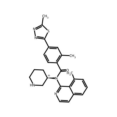 Cc1nnc(-c2ccc(C(=O)N(c3nccc4cccc(C)c34)[C@@H]3CCCNC3)c(C)c2)s1